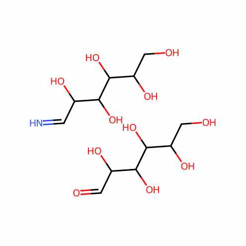 N=CC(O)C(O)C(O)C(O)CO.O=CC(O)C(O)C(O)C(O)CO